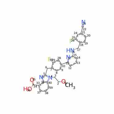 COCCn1c(Cc2ccc(-c3cccc(NCc4ccc(C#N)cc4F)n3)cc2F)nc2c(C(=O)O)cccc21